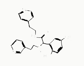 Cc1ccc(C)c(C(NCCc2cccnc2)C(=O)NCCc2ccncc2)c1